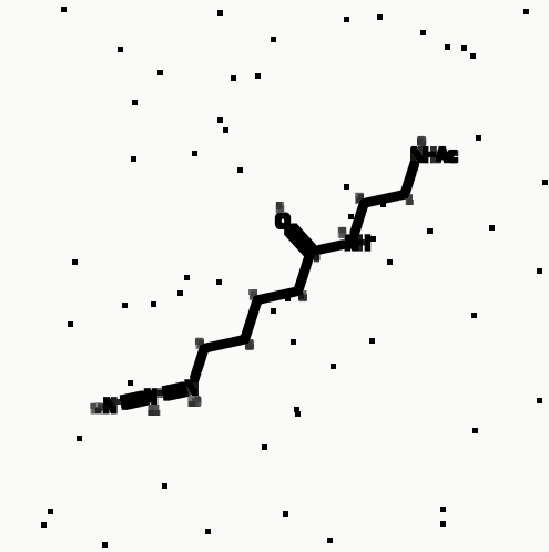 CC(=O)NCCNC(=O)CCCCN=[N+]=[N-]